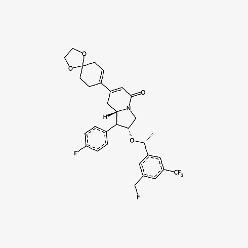 C[C@@H](O[C@H]1CN2C(=O)C=C(C3=CCC4(CC3)OCCO4)C[C@H]2C1c1ccc(F)cc1)c1cc(CF)cc(C(F)(F)F)c1